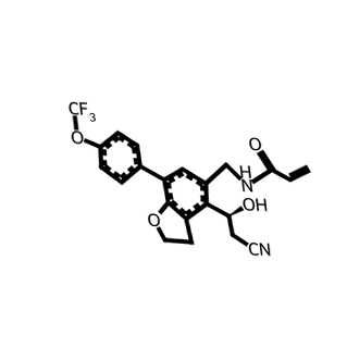 C=CC(=O)NCc1cc(-c2ccc(OC(F)(F)F)cc2)c2c(c1[C@@H](O)CC#N)CCO2